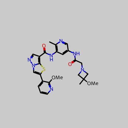 COc1ncccc1-c1cn2ncc(C(=O)Nc3cc(NC(=O)CN4CC(C)(OC)C4)cnc3C)c2s1